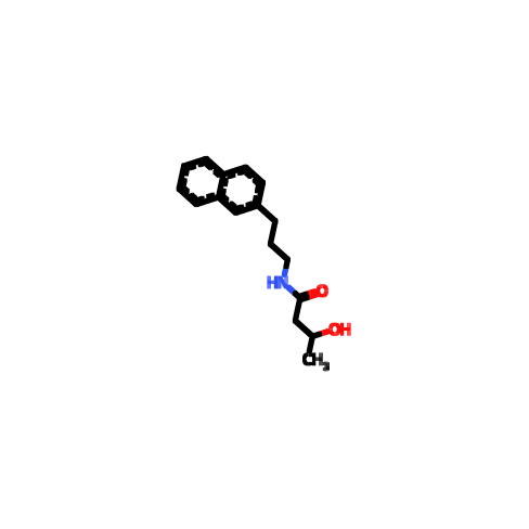 CC(O)CC(=O)NCCCc1ccc2ccccc2c1